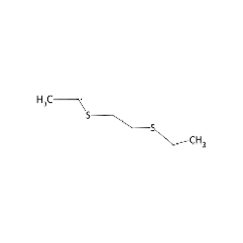 C[CH]SCCSCC